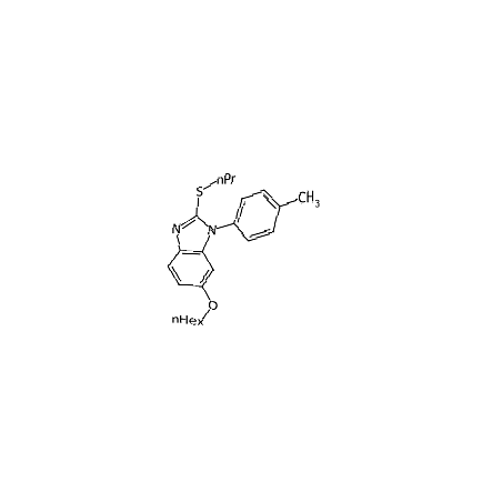 CCCCCCOc1ccc2nc(SCCC)n(-c3ccc(C)cc3)c2c1